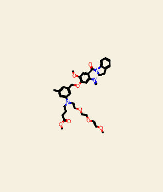 C=Nc1cc(OCc2cc(C)cc(N(CCCC(=O)OC)CCOCCOCCOC)c2)c(OC)cc1C(=O)N1CCc2ccccc21